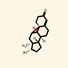 CC(=O)[C@H]1CC[C@H]2[C@@H]3CCC4=CC(=O)CC[C@@]45COC(C[C@]12C)[C@@H]35